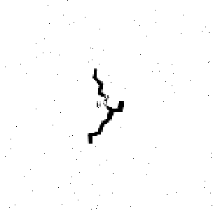 C=C/C(=C/CCCC)NOCCCC